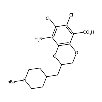 CCCCN1CCC(CC2COc3c(c(N)c(Cl)c(Cl)c3C(=O)O)O2)CC1